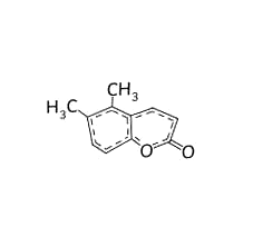 Cc1ccc2oc(=O)ccc2c1C